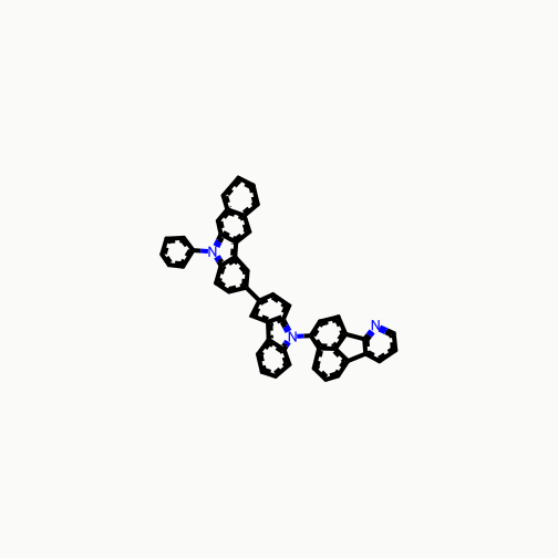 c1ccc(-n2c3ccc(-c4ccc5c(c4)c4ccccc4n5-c4ccc5c6c(cccc46)-c4cccnc4-5)cc3c3cc4ccccc4cc32)cc1